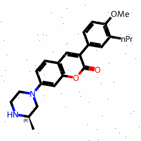 CCCc1cc(-c2cc3ccc(N4CCN[C@H](C)C4)cc3oc2=O)ccc1OC